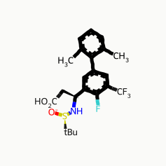 Cc1cccc(C)c1-c1cc([C@H](CC(=O)O)N[S@+]([O-])C(C)(C)C)c(F)c(C(F)(F)F)c1